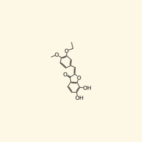 CCOc1cc(/C=C2/Oc3c(ccc(O)c3O)C2=O)ccc1OC